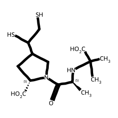 C[C@H](NC(C)(C)C(=O)O)C(=O)N1CC(C(S)CS)C[C@H]1C(=O)O